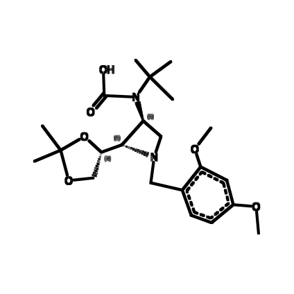 COc1ccc(CN2C[C@H](N(C(=O)O)C(C)(C)C)[C@H]2[C@@H]2COC(C)(C)O2)c(OC)c1